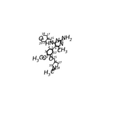 COc1ccc(-c2c(C)nc(N)nc2NCC2CCOCC2)cc1OCC1CCN(C)C1